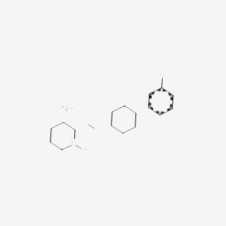 CC(=O)N1CCC[C@H](N)[C@@H]1CO[C@H]1CC[C@@H](c2cccc(C(F)(F)F)c2)CC1